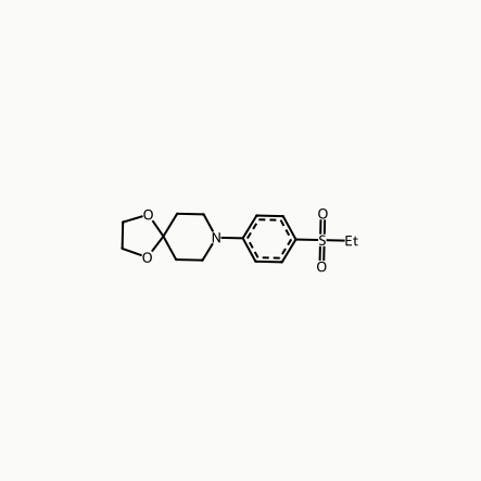 CCS(=O)(=O)c1ccc(N2CCC3(CC2)OCCO3)cc1